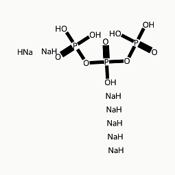 O=P(O)(O)OP(=O)(O)OP(=O)(O)O.[NaH].[NaH].[NaH].[NaH].[NaH].[NaH].[NaH]